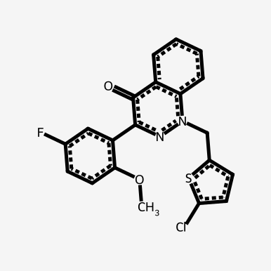 COc1ccc(F)cc1-c1nn(Cc2ccc(Cl)s2)c2ccccc2c1=O